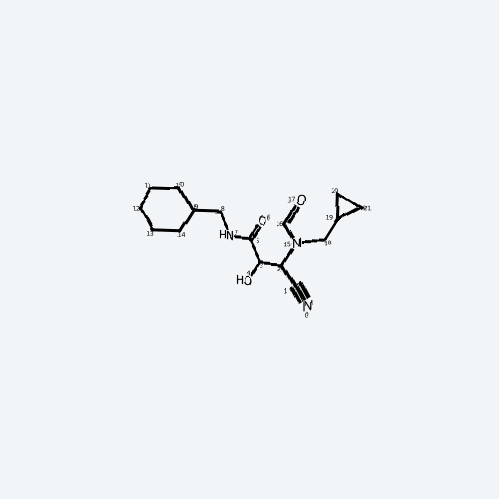 N#CC(C(O)C(=O)NCC1CCCCC1)N(C=O)CC1CC1